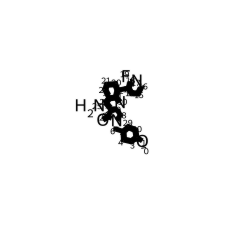 COc1ccc(CN2Cc3nc4c(-c5cccnc5F)cccc4c(N)c3C2=O)cc1